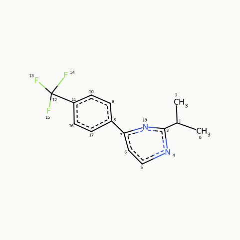 CC(C)c1nccc(-c2ccc(C(F)(F)F)cc2)n1